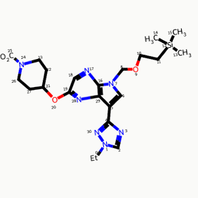 CCn1cnc(-c2cn(COCC[Si](C)(C)C)c3ncc(OC4CCN(C(=O)O)CC4)nc23)n1